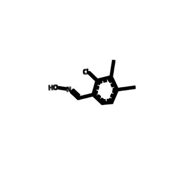 Cc1ccc(C=NO)c(Cl)c1C